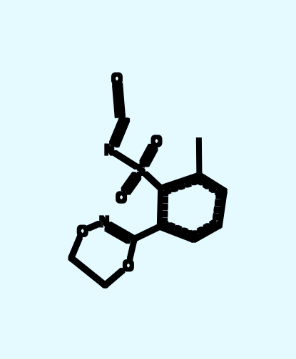 Cc1cccc(C2=NOCCO2)c1S(=O)(=O)N=C=O